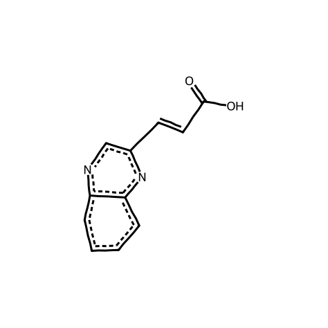 O=C(O)C=Cc1cnc2ccccc2n1